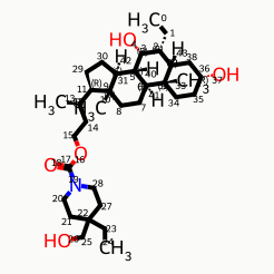 CC[C@H]1[C@@H](O)[C@@H]2[C@H](CC[C@]3(C)[C@@H]([C@H](C)CCOC(=O)N4CCC(CC)(CO)CC4)CC[C@@H]23)[C@@]2(C)CC[C@@H](O)C[C@@H]12